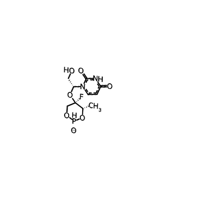 C[C@@H]1O[PH](=O)OC[C@@]1(F)O[C@H](CO)n1ccc(=O)[nH]c1=O